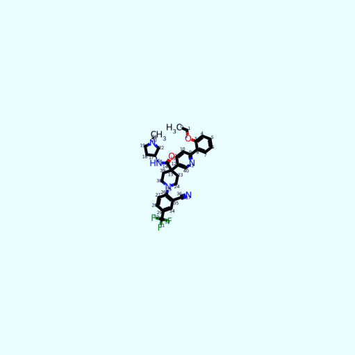 CCOc1ccccc1-c1ccc(C2(C(=O)N[C@@H]3CCN(C)C3)CCN(c3ccc(C(F)(F)F)cc3C#N)CC2)cn1